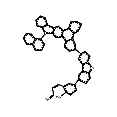 C=C/C=C\c1cc(-c2ccc3oc4ccc(-c5ccc6c(c5)c5ccccc5c5cc7c8ccccc8n(-c8cccc9ccccc89)c7cc65)cc4c3c2)ccc1C